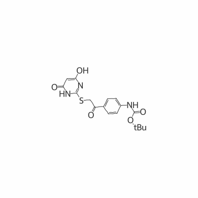 CC(C)(C)OC(=O)Nc1ccc(C(=O)CSc2nc(O)cc(=O)[nH]2)cc1